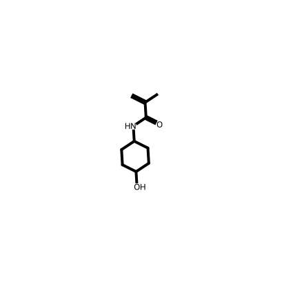 C=C(C)C(=O)NC1CCC(O)CC1